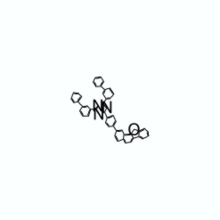 c1ccc(-c2cccc(-c3nc(-c4ccc(-c5ccc6ccc7c8ccccc8oc7c6c5)cc4)nc(-c4cccc(-c5ccccc5)c4)n3)c2)cc1